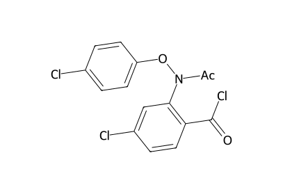 CC(=O)N(Oc1ccc(Cl)cc1)c1cc(Cl)ccc1C(=O)Cl